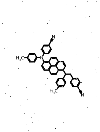 Cc1ccc(C(Cc2ccc(C#N)cc2)C2C=Cc3ccc4c(N(c5ccc(C)cc5)c5ccc(C#N)cc5)ccc5c4c3C2C=C5)cc1